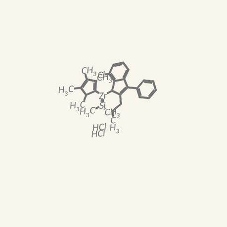 CCCC1=C(c2ccccc2)c2cccc(Cl)c2[CH]1[Zr]([C]1=C(C)C(C)=C(C)C1C)=[Si](C)C.Cl.Cl